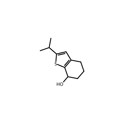 CC(C)c1cc2c(s1)C(O)CCC2